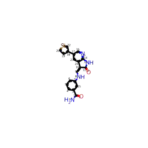 NC(=O)c1cccc(NC=C2C(=O)Nc3ncc(-c4ccsc4)cc32)c1